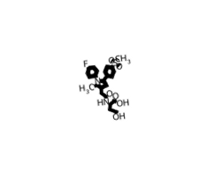 Cc1c(CC(=O)NC(CCO)C(=O)O)cc(-c2ccc(S(C)(=O)=O)cc2)n1-c1ccc(F)cc1